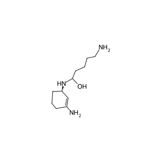 NCCCCC(O)N[C@H]1C=C(N)CCC1